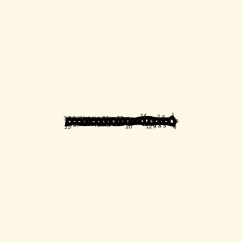 C1CC2C(C1)C1C2C2C1C1C2C2C1C1C2C2C1C1C2C2C1C1C2C2C3C4C5C6C7C8C9C%10C%11C%12CCC%12C%11C%10C9C8C7C6C5C4C3C12